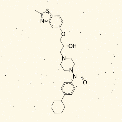 Cc1nc2cc(OC[C@H](O)CN3CCN(N(C=O)c4ccc(C5CCCCC5)cc4)CC3)ccc2s1